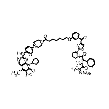 CN[C@@H](C)C(=O)N[C@H](C(=O)N1CCC[C@H]1c1nc(C(=O)c2cccc(OCCCCCCC(=O)N3CCN(c4ccc(Nc5ncc6c(C)c(C(C)=O)c(=O)n(C7CCCC7)c6n5)nc4)CC3)c2)cs1)C1CCCCC1